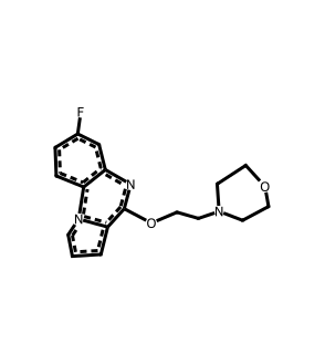 Fc1ccc2c(c1)nc(OCCN1CCOCC1)c1cccn12